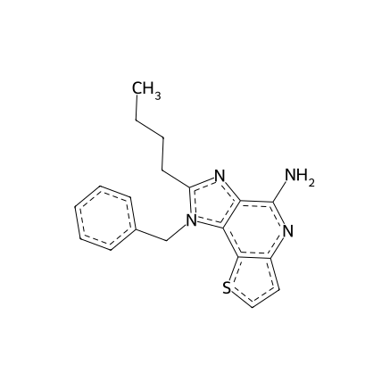 CCCCc1nc2c(N)nc3ccsc3c2n1Cc1ccccc1